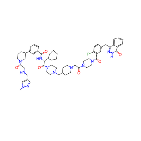 Cn1cc(CNCC(=O)N2CCCC(c3cccc(C(=O)N[C@@H](C(=O)N4CCN(CC5CCN(CC(=O)N6CCN(C(=O)c7cc(Cc8n[nH]c(=O)c9ccccc89)ccc7F)CC6)CC5)CC4)C4CCCCC4)c3)C2)cn1